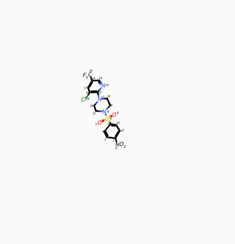 O=[N+]([O-])c1ccc(S(=O)(=O)N2CCN(c3ncc(C(F)(F)F)cc3Cl)CC2)cc1